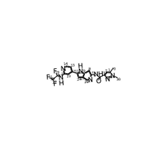 Cc1cc(C(=O)Nc2cc3[nH]c(-c4ccnc(NC(F)C(F)F)c4)cc3cn2)nn1C